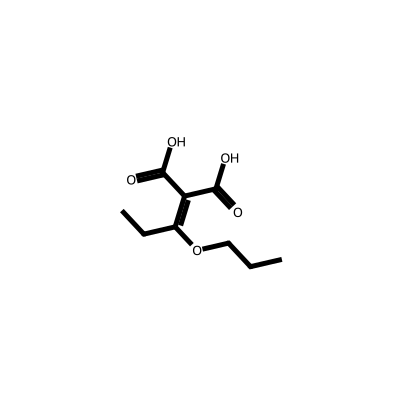 CCCOC(CC)=C(C(=O)O)C(=O)O